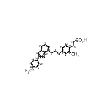 Cc1cc(SCCc2cccc3cn(-c4ccc(C(F)(F)F)cc4)nc23)ccc1CCC(=O)O